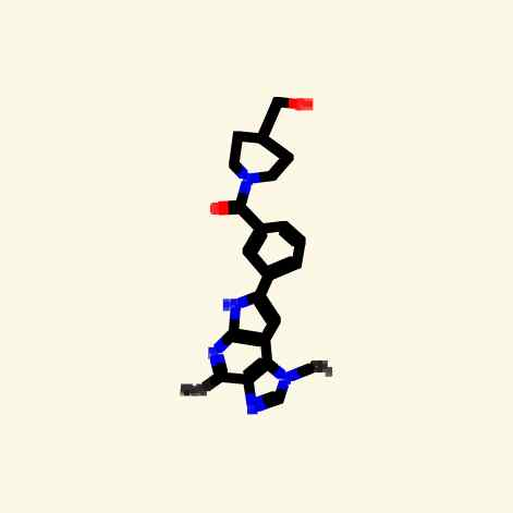 CNc1nc2[nH]c(-c3cccc(C(=O)N4CCC(CO)CC4)c3)cc2c2c1ncn2C